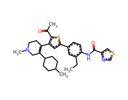 CCc1cc(-c2cc(C3=C(C4CCC(C)CC4)CN(C)CC3)c(C(C)=O)s2)ccc1NC(=O)c1cscn1